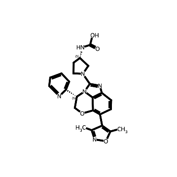 Cc1noc(C)c1-c1ccc2nc(N3CC[C@H](NC(=O)O)C3)n3c2c1OC[C@@H]3c1ccccn1